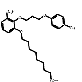 CCCCCCCCCCCCCCCCCCOc1cccc(C(=O)O)c1OCCCOc1ccc(O)cc1